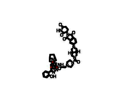 Nc1nnc(-c2ccccc2O)cc1N1CC2CCC(C1)N2c1cccc(OCCN2CCN(C(=O)N3C[C@@H]4CN(c5ccc6c(c5)C(=O)N(C5CCC(=O)NC5=O)C6=O)C[C@@H]4C3)CC2)c1